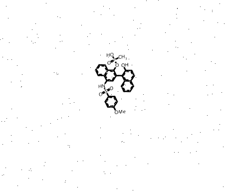 COc1ccc(S(=O)(=O)Nc2cc(-c3c(O)ccc4ccccc34)c(OP(C)(=O)O)c3ccccc23)cc1